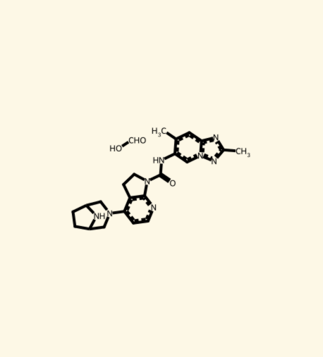 Cc1nc2cc(C)c(NC(=O)N3CCc4c(N5CC6CCC(C5)N6)ccnc43)cn2n1.O=CO